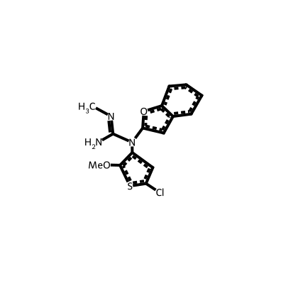 CN=C(N)N(c1cc2ccccc2o1)c1cc(Cl)sc1OC